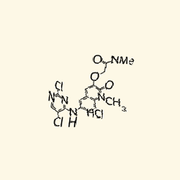 CNC(=O)COc1cc2cc(Nc3nc(Cl)ncc3Cl)ccc2n(C)c1=O.Cl